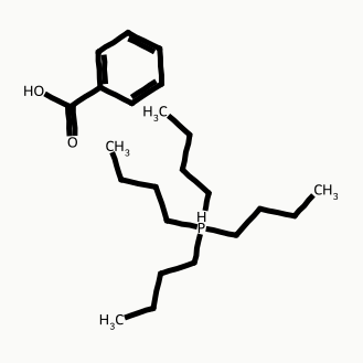 CCCC[PH](CCCC)(CCCC)CCCC.O=C(O)c1ccccc1